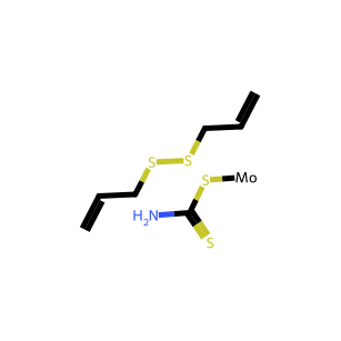 C=CCSSCC=C.NC(=S)[S][Mo]